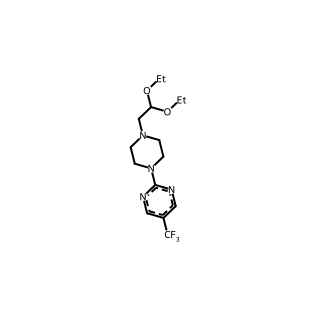 CCOC(CN1CCN(c2ncc(C(F)(F)F)cn2)CC1)OCC